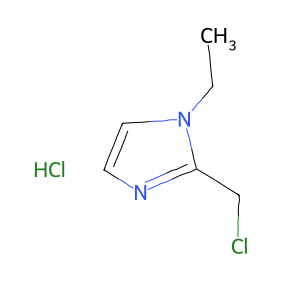 CCn1ccnc1CCl.Cl